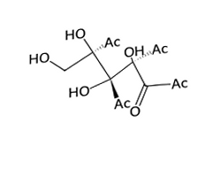 CC(=O)C(=O)[C@@](O)(C(C)=O)[C@@](O)(C(C)=O)[C@](O)(CO)C(C)=O